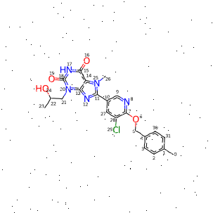 Cc1ccc(COc2ncc(-c3nc4c(c(=O)[nH]c(=O)n4CC(C)O)n3C)cc2Cl)cc1